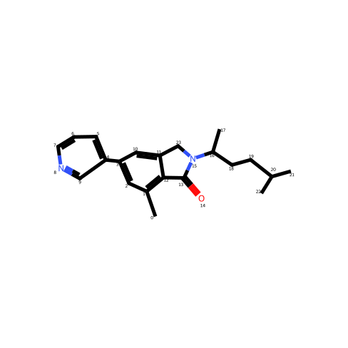 Cc1cc(-c2cccnc2)cc2c1C(=O)N(C(C)CCC(C)C)C2